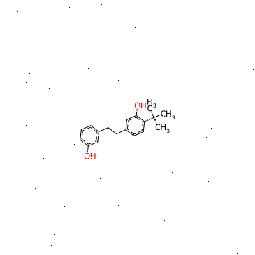 CC(C)(C)c1ccc(CCc2cccc(O)c2)cc1O